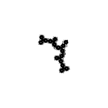 c1ccc(-c2ccc(N(c3ccc(Oc4ccc(N(c5ccccc5)c5ccc(-c6ccc(N(c7ccccc7)c7ccccc7)cc6)cc5)cc4)cc3)c3ccc(Oc4ccc(N(c5ccccc5)c5ccc(-c6ccc(N(c7ccccc7)c7ccccc7)cc6)cc5)cc4)cc3)cc2)cc1